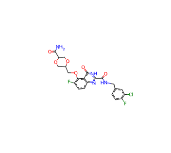 NC(=O)C1COC(COc2c(F)ccc3nc(C(=O)NCc4ccc(F)c(Cl)c4)[nH]c(=O)c23)CO1